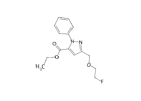 CCOC(=O)c1cc(COCCF)nn1-c1ccccc1